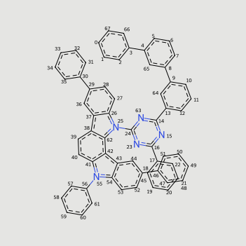 c1ccc(-c2cccc(-c3cccc(-c4nc(-c5ccccc5)nc(-n5c6ccc(-c7ccccc7)cc6c6ccc7c(c8cc(-c9ccccc9)ccc8n7-c7ccccc7)c65)n4)c3)c2)cc1